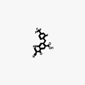 N#Cc1c[nH]c2cc(Cc3ccc(C(F)(F)F)cc3F)c(C(=O)O)cc2c1=O